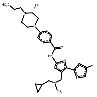 C[C@@H]1CN(c2cnc(C(=O)Nc3nc(-c4cc(Cl)cs4)c(CN(C)CC4CC4)s3)cn2)CCN1CCC(=O)O